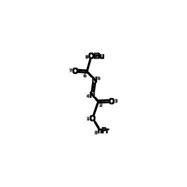 CCCOC(=O)N=NC(=O)OCC(C)C